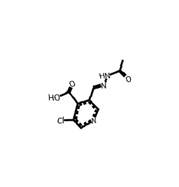 CC(=O)NN=Cc1cncc(Cl)c1C(=O)O